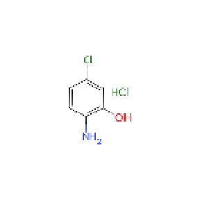 Cl.Nc1ccc(Cl)cc1O